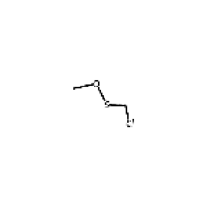 COSCCl